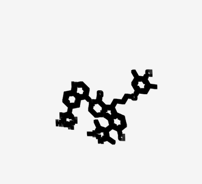 Cc1cc(OCCCc2c3n(c4c(-c5c(C)nn(C)c5C)c(Cl)ccc24)CCN(c2ccnc4ccc(-c5nn[nH]n5)cc24)C3=O)cc(C)c1Cl